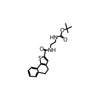 CC(C)(C)OC(=O)NCCNC(=O)c1cc2c(s1)-c1ccccc1CC2